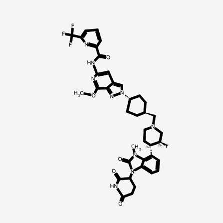 COc1nc(NC(=O)c2cccc(C(F)(F)F)n2)cc2cn([C@H]3CC[C@H](CN4CC[C@@H](c5cccc6c5n(C)c(=O)n6C5CCC(=O)NC5=O)[C@H](F)C4)CC3)nc12